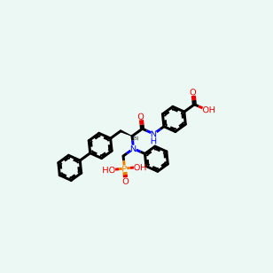 O=C(O)c1ccc(NC(=O)[C@H](Cc2ccc(-c3ccccc3)cc2)N(CP(=O)(O)O)c2ccccc2)cc1